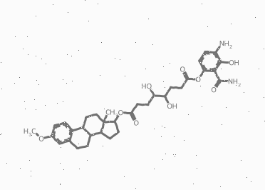 COc1ccc2c(c1)CCC1C2CCC2(C)C(OC(=O)CCC(O)C(O)CCC(=O)Oc3ccc(N)c(O)c3C(N)=O)CCC12